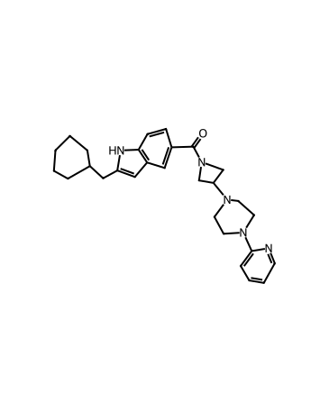 O=C(c1ccc2[nH]c(CC3CCCCC3)cc2c1)N1CC(N2CCN(c3ccccn3)CC2)C1